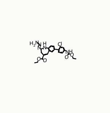 CCOC(=O)Nc1ccc(-c2ccc3c(c2)C=C(C(=O)OCC)CC(N=NN)N3)c(Cl)c1